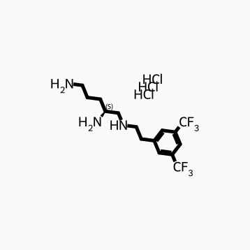 Cl.Cl.Cl.NCCC[C@H](N)CNCCc1cc(C(F)(F)F)cc(C(F)(F)F)c1